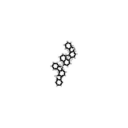 c1ccc2c(c1)sc1c2ccc2c1c1ccccc1n2-c1ccc2c3c(cccc13)-c1c-2ccc2sc3ccccc3c12